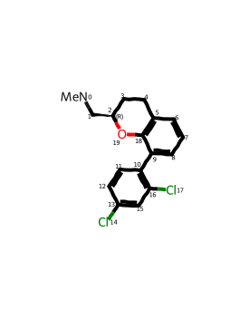 CNC[C@H]1CCc2cccc(-c3ccc(Cl)cc3Cl)c2O1